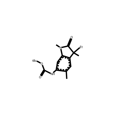 CCC1(C)C(=O)N(C)c2cc(NC(=O)OC(C)(C)C)c(C)cc21